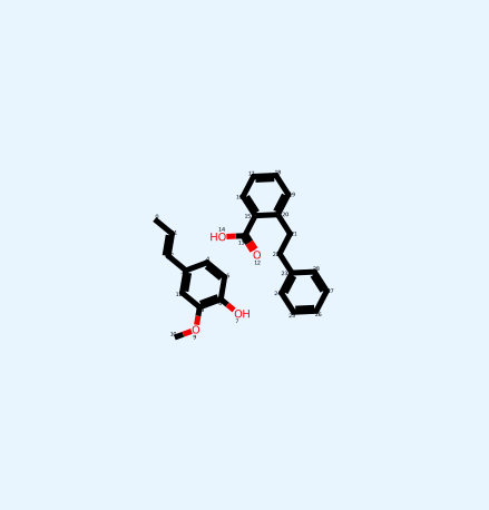 CC=Cc1ccc(O)c(OC)c1.O=C(O)c1ccccc1CCc1ccccc1